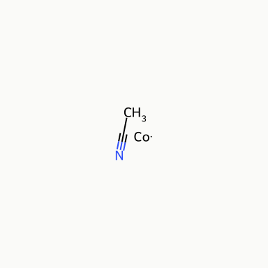 CC#N.[Co]